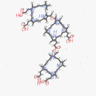 CC1=C(C)C2Cc3[nH]c(c(C)c3C(C)OC(=O)CCc3c(C)/c4[nH]/c3=C\C3=NC(=C\c5[nH]c(c(C(C)OC(C)c6c7[nH]c(c6C)/C=C6N=C(/C=c8\[nH]/c(c(C)c8CCC(=O)O)=C\C8=NC(C7)C(C)=C8C)C(CCC(=O)O)=C\6C)c5C)CC5N=C(/C=4)C(C)=C5C)/C(C)=C3CCC(=O)O)/C=C3N=C(/C=c4\[nH]/c(c(C)c4CCC(=O)O)=C\C1=N2)C(CCC(=O)O)=C\3C